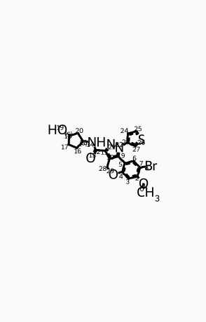 COc1cc2c(cc1Br)-c1c(c(C(=O)N[C@H]3CC[C@H](O)C3)nn1-c1ccsc1)CO2